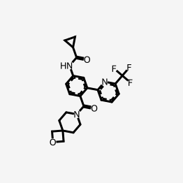 O=C(Nc1ccc(C(=O)N2CCC3(CC2)COC3)c(-c2cccc(C(F)(F)F)n2)c1)C1CC1